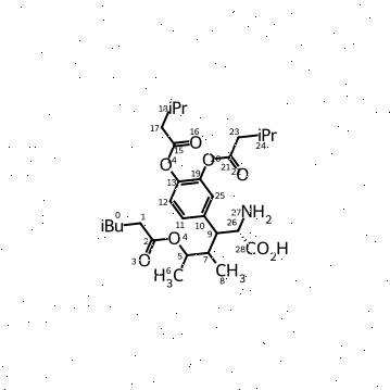 CCC(C)CC(=O)OC(C)C(C)C(c1ccc(OC(=O)CC(C)C)c(OC(=O)CC(C)C)c1)[C@H](N)C(=O)O